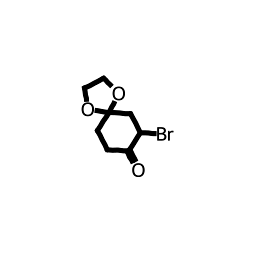 O=C1CCC2(CC1Br)OCCO2